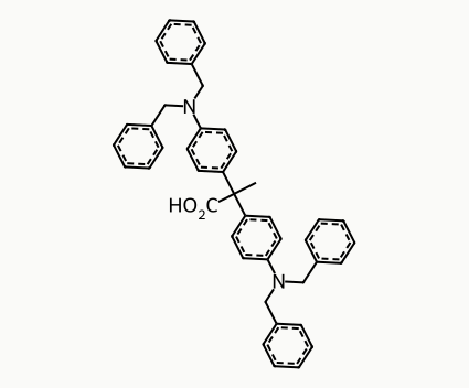 CC(C(=O)O)(c1ccc(N(Cc2ccccc2)Cc2ccccc2)cc1)c1ccc(N(Cc2ccccc2)Cc2ccccc2)cc1